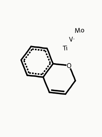 C1=Cc2ccccc2OC1.[Mo].[Ti].[V]